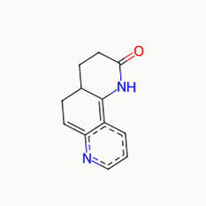 O=C1CCC2CC=c3ncccc3=C2N1